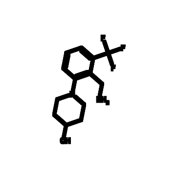 NCc1c(N2CCC(O)CC2)cccc1C(F)(F)F